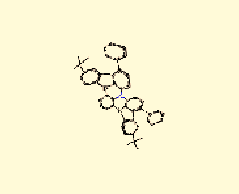 CC(C)(C)c1ccc2c(c1)-c1c(-c3ccccc3)ccc3c1B2c1cccc2c1N3c1ccc(-c3ccccc3)c3c1B2c1ccc(C(C)(C)C)cc1-3